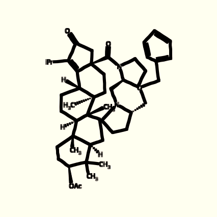 CC(=O)O[C@H]1CC[C@]2(C)[C@H]3CC[C@@H]4C5=C(C(C)C)C(=O)C[C@]5(C(=O)N5CCC[C@H]5CN5CCC[C@H]5COCc5ccccc5)CC[C@@]4(C)[C@]3(C)CC[C@H]2C1(C)C